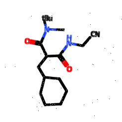 CN(C(=O)C(CC1CCCCC1)C(=O)NCC#N)C(C)(C)C